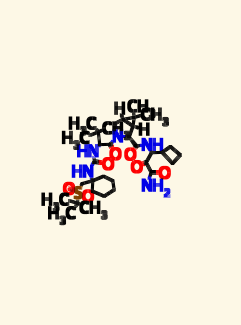 CC(C)(C)[C@H](NC(=O)NC1(CS(=O)(=O)C(C)(C)C)CCCCC1)C(=O)N1C[C@H]2[C@@H]([C@H]1C(=O)NC(C(=O)C(N)=O)C1CCC1)C2(C)C